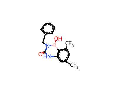 O=C1Nc2cc(C(F)(F)F)cc(C(F)(F)F)c2B(O)N1Cc1ccccc1